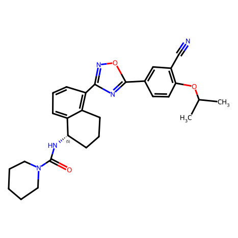 CC(C)Oc1ccc(-c2nc(-c3cccc4c3CCC[C@@H]4NC(=O)N3CCCCC3)no2)cc1C#N